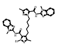 CCn1nc(C)c(CCCCCn2nc(C)cc2C(=O)Nc2nc3ccccc3n2C)c1C(=O)Nc1nc2ccccc2n1C